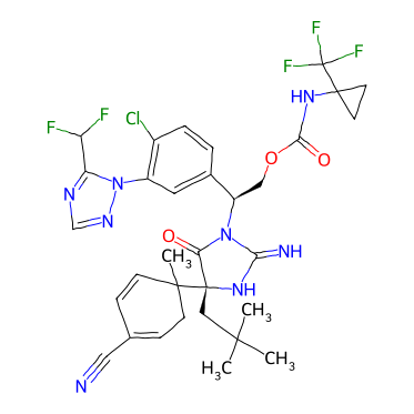 CC(C)(C)C[C@]1(C2(C)C=CC(C#N)=CC2)NC(=N)N([C@H](COC(=O)NC2(C(F)(F)F)CC2)c2ccc(Cl)c(-n3ncnc3C(F)F)c2)C1=O